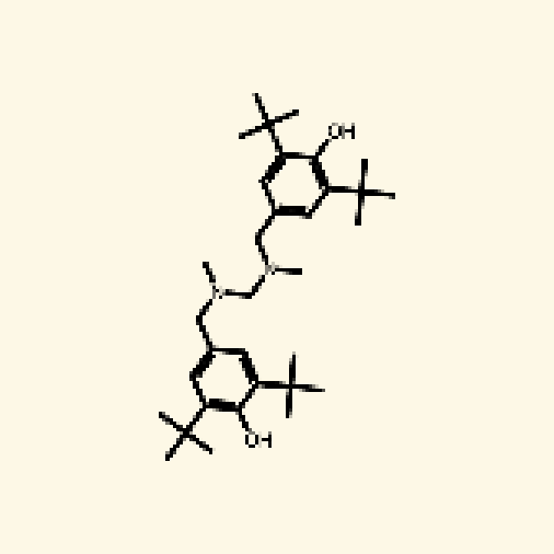 CN(Cc1cc(C(C)(C)C)c(O)c(C(C)(C)C)c1)CN(C)Cc1cc(C(C)(C)C)c(O)c(C(C)(C)C)c1